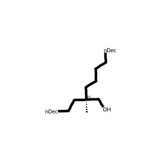 CCCCCCCCCCCCCC[C@@](C)(CO)CCCCCCCCCCCC